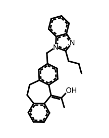 CCCc1nc2ccccc2n1Cc1ccc2c(c1)CCc1ccccc1C2=C(C)O